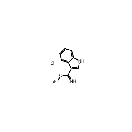 CC(C)OC(=N)c1c[nH]c2ccccc12.Cl